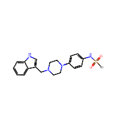 CCS(=O)(=O)Nc1ccc(N2CCN(Cc3c[nH]c4ccccc34)CC2)cc1